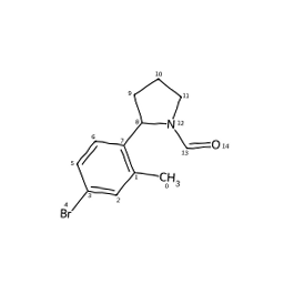 Cc1cc(Br)ccc1C1CCCN1C=O